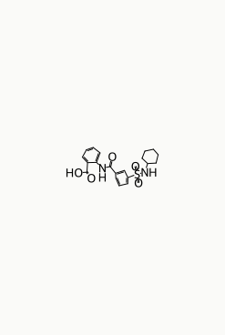 O=C(Nc1ccccc1C(=O)O)c1cccc(S(=O)(=O)NC2CCCCC2)c1